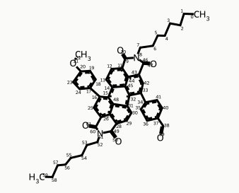 CCCCCCCCN1C(=O)c2ccc3c4c(-c5ccc(OC)cc5)cc5c6c(ccc(c7c(-c8ccc(C=O)cc8)cc(c2c37)C1=O)c64)C(=O)N(CCCCCCCC)C5=O